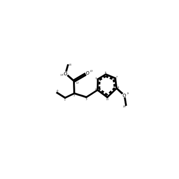 CCC(Cc1cccc(OC)c1)C(=O)OC